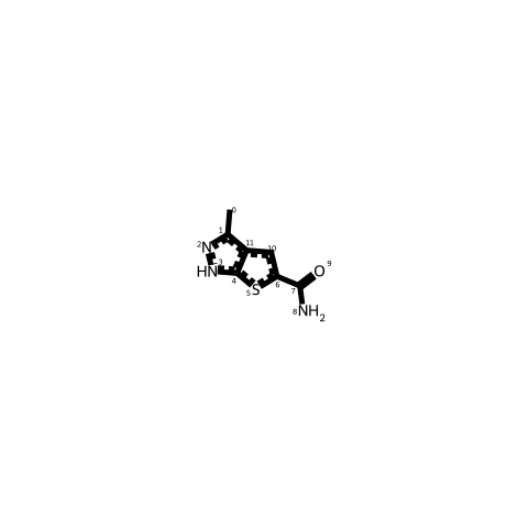 Cc1n[nH]c2sc(C(N)=O)cc12